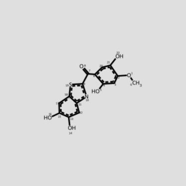 COc1cc(O)c(C(=O)c2nc3cc(O)c(O)cc3s2)cc1O